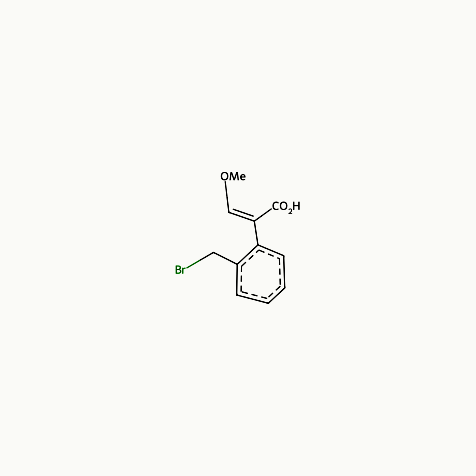 COC=C(C(=O)O)c1ccccc1CBr